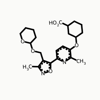 Cc1nc(-c2onc(C)c2COC2CCCCO2)ccc1OC1CCCC(C(=O)O)C1